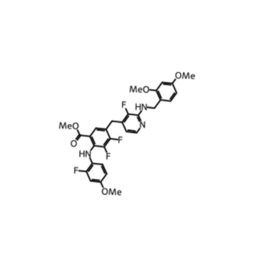 COC(=O)c1cc(Cc2ccnc(NCc3ccc(OC)cc3OC)c2F)c(F)c(F)c1Nc1ccc(OC)cc1F